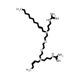 CC/C=C\CN(CCCNC(=N)N)CCOCCOCCN(C/C=C/CCCCCCCC)CCCNC(=N)N